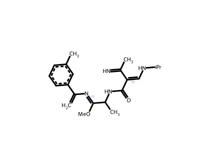 C=C(/N=C(\OC)C(C)NC(=O)/C(=C/NC(C)C)C(C)=N)c1cccc(C)c1